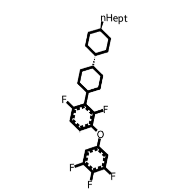 CCCCCCC[C@H]1CC[C@H](C2CCC(c3c(F)c[c]c(Oc4cc(F)c(F)c(F)c4)c3F)CC2)CC1